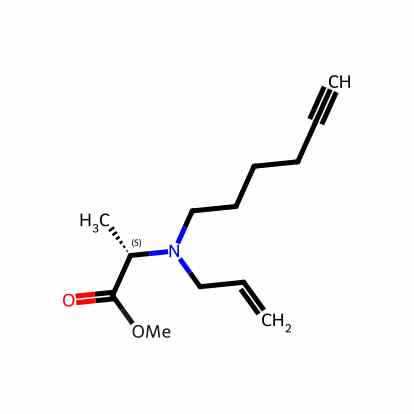 C#CCCCCN(CC=C)[C@@H](C)C(=O)OC